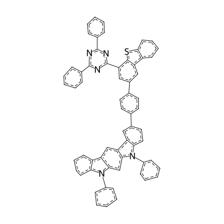 c1ccc(-c2nc(-c3ccccc3)nc(-c3cc(-c4ccc(-c5ccc6c(c5)c5cc7c8ccccc8n(-c8ccccc8)c7cc5n6-c5ccccc5)cc4)cc4c3sc3ccccc34)n2)cc1